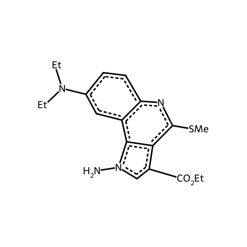 CCOC(=O)c1cn(N)c2c1c(SC)nc1ccc(N(CC)CC)cc12